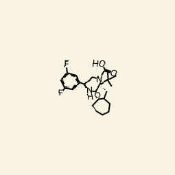 CC(C)(C)[C@@]1(CC2CCCCCC2)C(=O)NC(c2cc(F)cc(F)c2)CN1C(=O)O